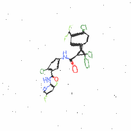 O=C(Nc1ncc(F)cc1F)c1cc(NC(=O)C2C(c3ccc(Cl)c(C(F)F)c3)C2(Cl)Cl)ccc1Cl